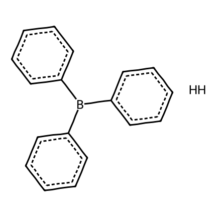 [HH].c1ccc(B(c2ccccc2)c2ccccc2)cc1